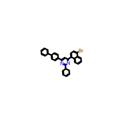 Brc1ccc(-c2cc(-c3ccc(-c4ccccc4)cc3)nc(C3C=CC=CC3)n2)c2ccccc12